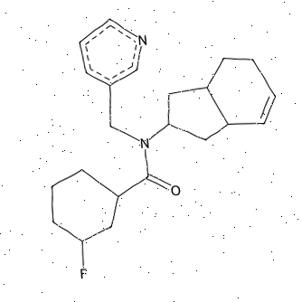 O=C(C1CCCC(F)C1)N(Cc1cccnc1)C1CC2C=CCCC2C1